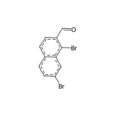 O=Cc1ccc2ccc(Br)cc2c1Br